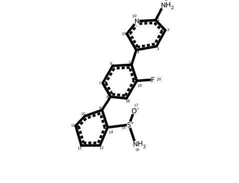 Nc1ccc(-c2ccc(-c3ccccc3[S+](N)[O-])cc2F)cn1